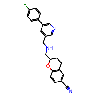 N#Cc1ccc2c(c1)CCC(CNCc1cncc(-c3ccc(F)cc3)c1)O2